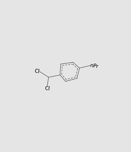 CCCc1ccc(C(Cl)Cl)cc1